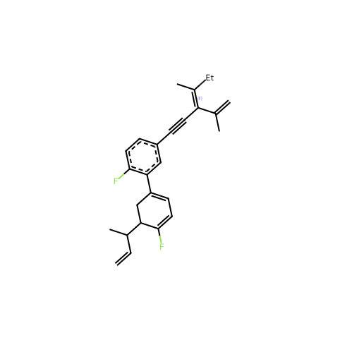 C=CC(C)C1CC(c2cc(C#C/C(C(=C)C)=C(\C)CC)ccc2F)=CC=C1F